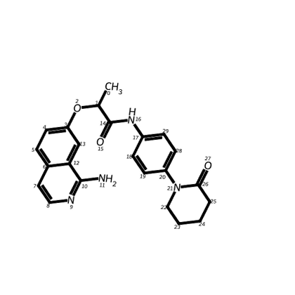 CC(Oc1ccc2ccnc(N)c2c1)C(=O)Nc1ccc(N2CCCCC2=O)cc1